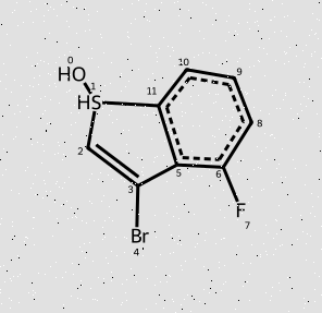 O[SH]1C=C(Br)c2c(F)cccc21